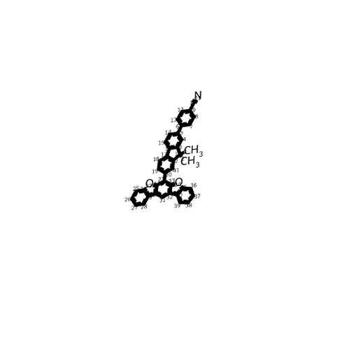 CC1(C)c2cc(-c3ccc(C#N)cc3)ccc2-c2ccc(-c3c4oc5ccccc5c4cc4c3oc3ccccc34)cc21